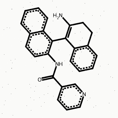 NC1=C(c2c(NC(=O)c3cccnc3)ccc3ccccc23)c2ccccc2CC1